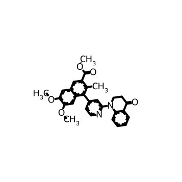 COC(=O)c1cc2cc(OC)c(OC)cc2c(-c2ccnc(N3CCC(=O)c4ccccc43)c2)c1C